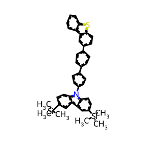 C[Si](C)(C)c1ccc2c(c1)c1cc([Si](C)(C)C)ccc1n2-c1ccc(-c2ccc(-c3ccc4sc5ccccc5c4c3)cc2)cc1